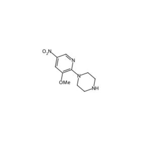 COc1cc([N+](=O)[O-])cnc1N1CCNCC1